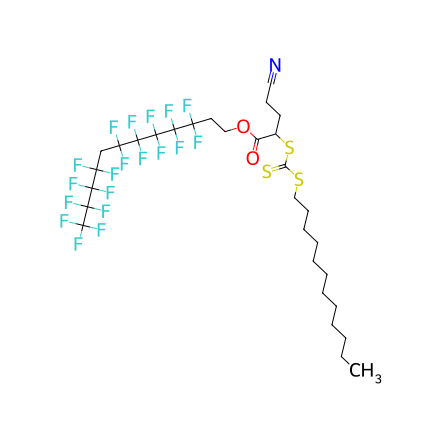 CCCCCCCCCCCCSC(=S)SC(CCC#N)C(=O)OCCC(F)(F)C(F)(F)C(F)(F)C(F)(F)C(F)(F)CC(F)(F)C(F)(F)C(F)(F)C(F)(F)F